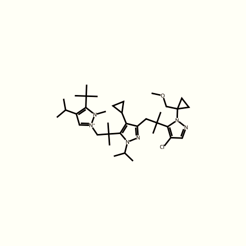 COCC1(n2ncc(Cl)c2C(C)(C)Cc2nn(C(C)C)c(C(C)(C)C[n+]3cc(C(C)C)c(C(C)(C)C)n3C)c2C2CC2)CC1